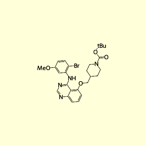 COc1ccc(Br)c(Nc2ncnc3cccc(OCC4CCN(C(=O)OC(C)(C)C)CC4)c23)c1